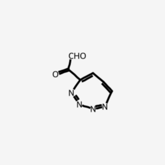 O=CC(=O)C1=CC=CN=NN=N1